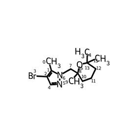 Cc1c(Br)cnn1CC1(C)CCCC(C)(C)O1